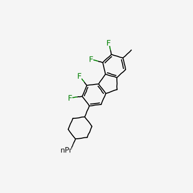 CCCC1CCC(c2cc3c(c(F)c2F)-c2c(cc(C)c(F)c2F)C3)CC1